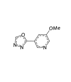 COc1cncc(-c2nnco2)c1